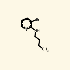 CCCCNc1ncccc1Br